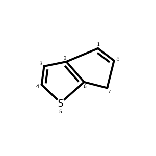 C1=Cc2ccsc2C1